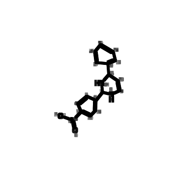 O=[N+]([O-])c1ccc(C2NC=CC(c3ccccc3)N2)cc1